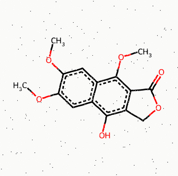 COc1cc2c(O)c3c(c(OC)c2cc1OC)C(=O)OC3